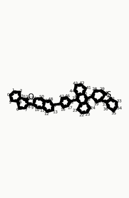 c1ccc2c(c1)ccc1c3cc4ccc(-c5ccc(-c6c7ccccc7c(-c7ccc8sc9ccccc9c8c7)c7ccccc67)cc5)cc4cc3oc21